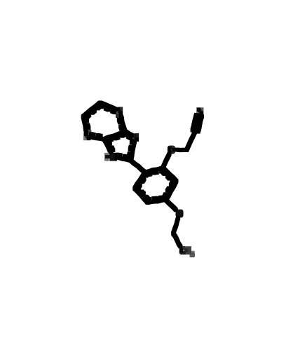 CCOc1ccc(-c2nc3nccnc3[nH]2)c(OCC#N)c1